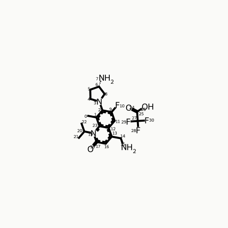 Cc1c(N2CC[C@H](N)C2)c(F)cc2c(CN)cc(=O)n(C(C)C)c12.O=C(O)C(F)(F)F